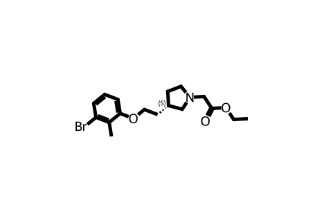 CCOC(=O)CN1CC[C@@H](CCOc2cccc(Br)c2C)C1